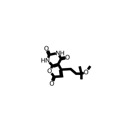 COC(C)(C)CCc1cc(=O)oc2[nH]c(=O)[nH]c(=O)c12